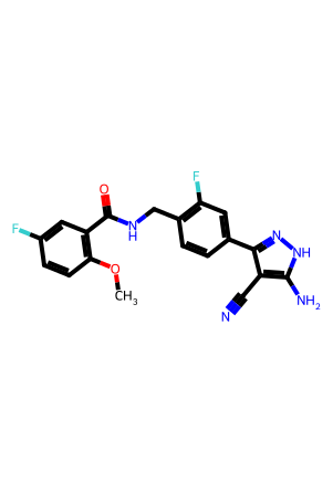 COc1ccc(F)cc1C(=O)NCc1ccc(-c2n[nH]c(N)c2C#N)cc1F